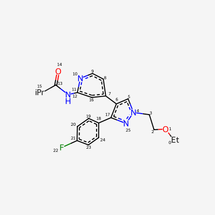 CCOCCn1cc(-c2ccnc(NC(=O)C(C)C)c2)c(-c2ccc(F)cc2)n1